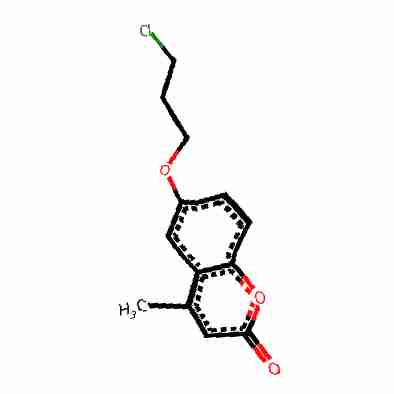 Cc1cc(=O)oc2ccc(OCCCCl)cc12